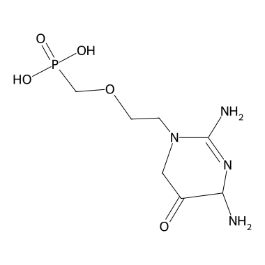 NC1=NC(N)C(=O)CN1CCOCP(=O)(O)O